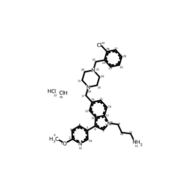 COc1ccc(-c2cn(CCCN)c3ccc(CN4CCN(Cc5ccccc5Cl)CC4)cc23)cn1.Cl.Cl